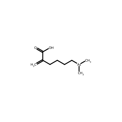 C=C(CCCC[As](C)C)C(=O)O